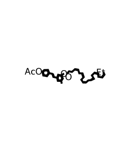 CC/C=C\C/C=C\C/C=C\C/C=C\C/C=C\C/C=C\CCC(=O)Oc1cc(C)cc(/C=C/c2ccc(OC(C)=O)cc2)c1